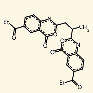 CCC(=O)c1ccc2nc(CC(C)c3nc4ccc(C(=O)CC)cc4c(=O)o3)oc(=O)c2c1